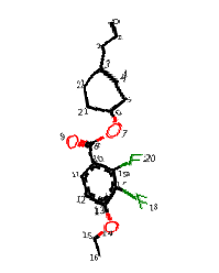 CCCC1CCC(OC(=O)c2ccc(OCC)c(F)c2F)CC1